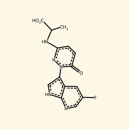 CC(Nc1ccc(=O)n(-c2c[nH]c3ncc(F)cc23)n1)C(=O)O